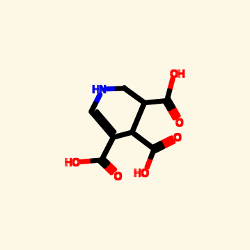 O=C(O)C1=CN[CH]C(C(=O)O)C1C(=O)O